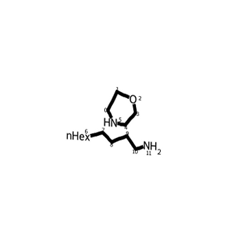 C1COCCN1.CCCCCCCCCCN